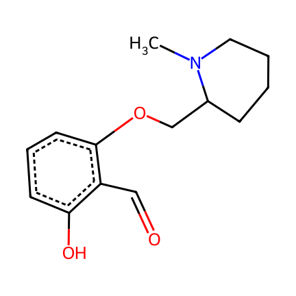 CN1CCCCC1COc1cccc(O)c1C=O